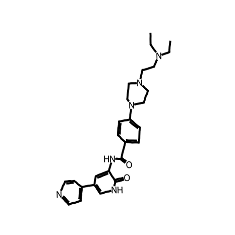 CCN(CC)CCN1CCN(c2ccc(C(=O)Nc3cc(-c4ccncc4)c[nH]c3=O)cc2)CC1